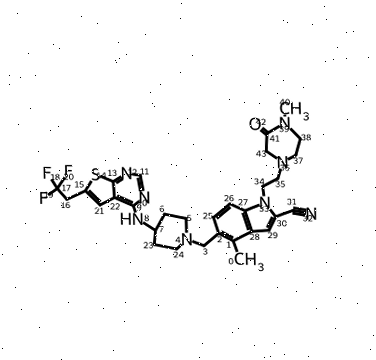 Cc1c(CN2CCC(Nc3ncnc4sc(CC(F)(F)F)cc34)CC2)ccc2c1cc(C#N)n2CCN1CCN(C)C(=O)C1